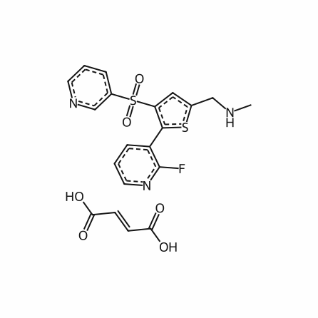 CNCc1cc(S(=O)(=O)c2cccnc2)c(-c2cccnc2F)s1.O=C(O)/C=C/C(=O)O